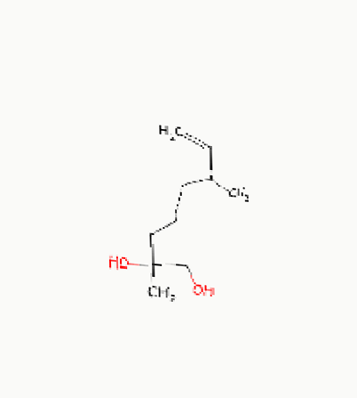 C=CC(C)CCCC(C)(O)CO